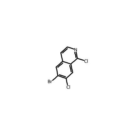 Clc1cc2c(Cl)nccc2cc1Br